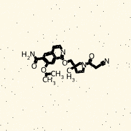 CC(C)Oc1cc2c(OCC3(C)CCN(C(=O)CC#N)C3)nccc2cc1C(N)=O